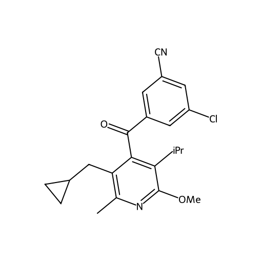 COc1nc(C)c(CC2CC2)c(C(=O)c2cc(Cl)cc(C#N)c2)c1C(C)C